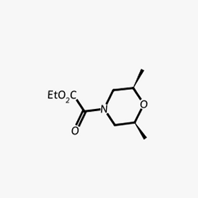 CCOC(=O)C(=O)N1C[C@@H](C)O[C@@H](C)C1